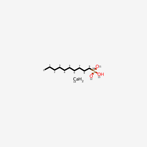 CCCCCCCCCCS(=O)(=O)O.[CaH2]